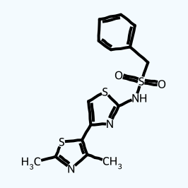 Cc1nc(C)c(-c2csc(NS(=O)(=O)Cc3ccccc3)n2)s1